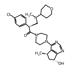 C[C@@H]1C[C@@H](O)c2ncnc(N3CCN(C(=O)[C@H](CN(C)C4CCOCC4)c4ccc(Cl)cc4)CC3)c21